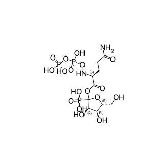 NC(=O)CC[C@H](NOP(=O)(O)OP(=O)(O)O)C(=O)OC1(P(=O)(O)O)O[C@H](CO)[C@@H](O)[C@H]1O